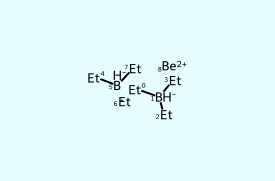 CC[BH-](CC)CC.CC[BH-](CC)CC.[Be+2]